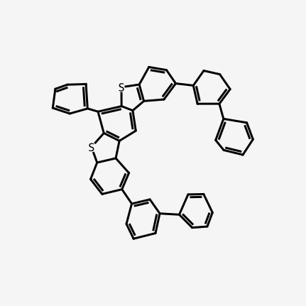 C1=CC2Sc3c(cc4c(sc5ccc(C6=CC(c7ccccc7)=CCC6)cc54)c3-c3ccccc3)C2C=C1c1cccc(-c2ccccc2)c1